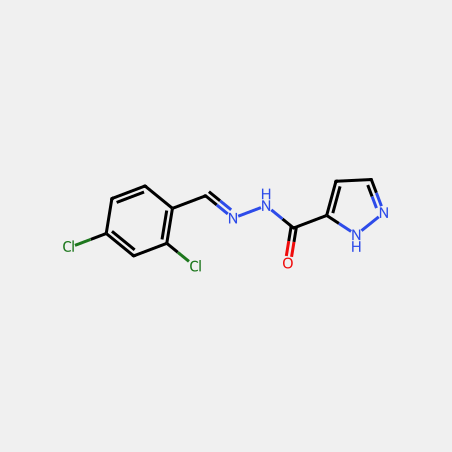 O=C(NN=Cc1ccc(Cl)cc1Cl)c1ccn[nH]1